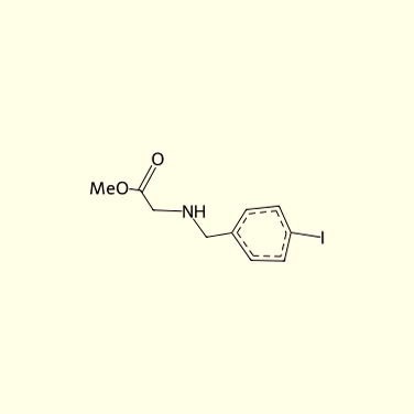 COC(=O)CNCc1ccc(I)cc1